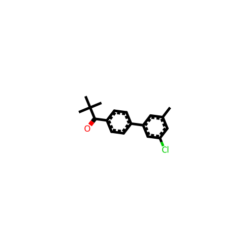 Cc1cc(Cl)cc(-c2ccc(C(=O)C(C)(C)C)cc2)c1